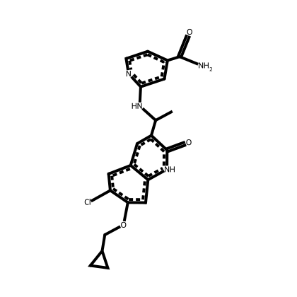 CC(Nc1cc(C(N)=O)ccn1)c1cc2cc(Cl)c(OCC3CC3)cc2[nH]c1=O